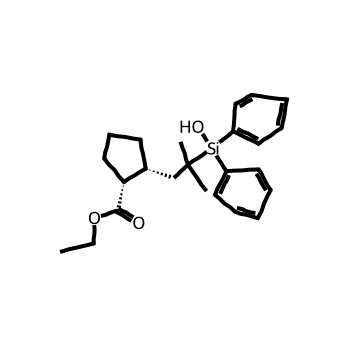 CCOC(=O)[C@@H]1CCC[C@@H]1CC(C)(C)[Si](O)(c1ccccc1)c1ccccc1